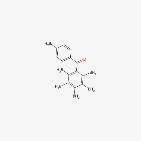 Bc1ccc(C(=O)c2c(B)c(B)c(B)c(B)c2B)cc1